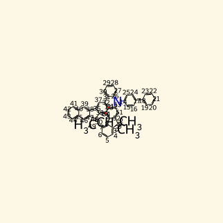 CC1(C)c2ccccc2-c2ccc(N(c3ccc(-c4ccccc4)cc3)c3ccccc3-c3ccc4c(c3)-c3cc5ccccc5cc3C4(C)C)cc21